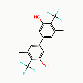 Cc1cc(-c2cc(C)c(C(F)(F)F)c(O)c2)cc(O)c1C(F)(F)F